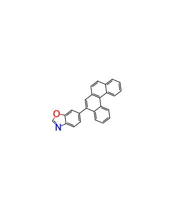 c1ccc2c(c1)ccc1cc(-c3ccc4ncoc4c3)c3ccccc3c12